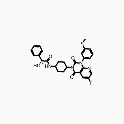 CSc1cccc(-n2c(=O)n(C3CCC(NC(=O)[C@H](O)c4ccccc4)CC3)c(=O)c3cc(F)cnc32)c1